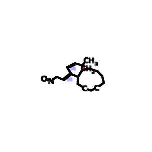 C=C(C)/C=C\C(=C/CN=O)C1CCCCCCCCC1